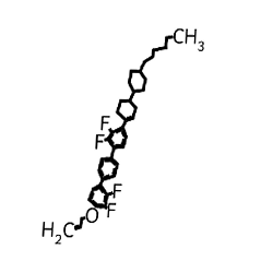 C=CCOc1ccc(-c2ccc(-c3ccc(C4=CCC(C5CCC(CCCCCC)CC5)CC4)c(F)c3F)cc2)c(F)c1F